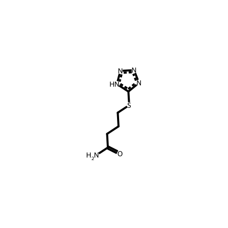 NC(=O)CCCSc1nnn[nH]1